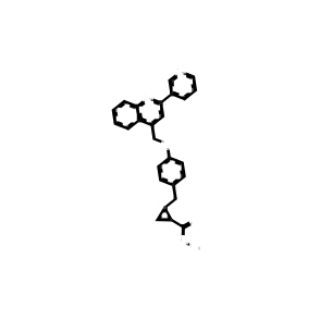 CCOC(=O)[C@@]1(Cc2ccc(OCc3cc(-c4cccnc4)nc4ccccc34)cc2)CC1C(=O)NO